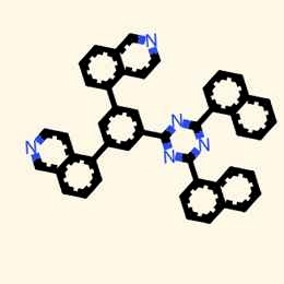 c1cc(-c2cc(-c3nc(-c4cccc5ccccc45)nc(-c4cccc5ccccc45)n3)cc(-c3cccc4cnccc34)c2)c2ccncc2c1